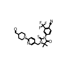 CC1(C)C(=O)N(c2ccc(C#N)c(C(F)(F)F)c2)C(=S)N1Cc1ccc(N2CCC(C=O)CC2)nc1